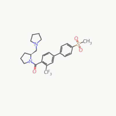 CS(=O)(=O)c1ccc(-c2ccc(C(=O)N3CCC[C@H]3CN3CCCC3)c(C(F)(F)F)c2)cc1